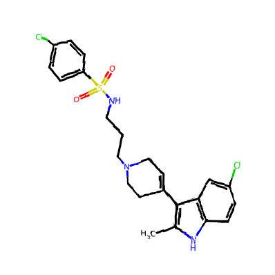 Cc1[nH]c2ccc(Cl)cc2c1C1=CCN(CCCNS(=O)(=O)c2ccc(Cl)cc2)CC1